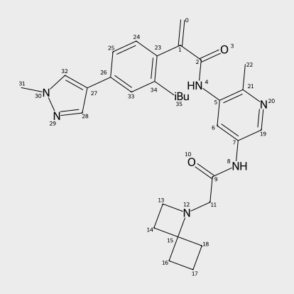 C=C(C(=O)Nc1cc(NC(=O)CN2CCC23CCC3)cnc1C)c1ccc(-c2cnn(C)c2)cc1C(C)CC